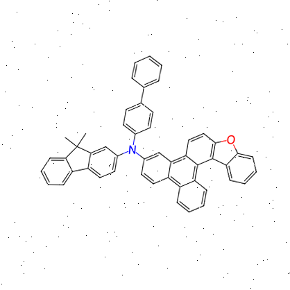 CC1(C)c2ccccc2-c2ccc(N(c3ccc(-c4ccccc4)cc3)c3ccc4c5ccccc5c5c(ccc6oc7ccccc7c65)c4c3)cc21